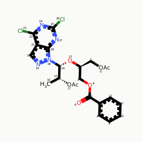 CC(=O)OC[C@@H](COC(=O)c1ccccc1)O[C@H]([C@@H](C)OC(C)=O)n1ncc2c(Cl)nc(Cl)nc21